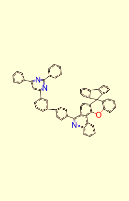 c1ccc(-c2cc(-c3cccc(-c4ccc(-c5nc6ccccc6c6c7c(ccc56)C5(c6ccccc6O7)c6ccccc6-c6ccccc65)cc4)c3)nc(-c3ccccc3)n2)cc1